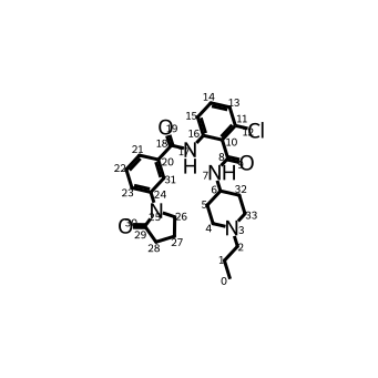 CCCN1CCC(NC(=O)c2c(Cl)cccc2NC(=O)c2cccc(N3CCCC3=O)c2)CC1